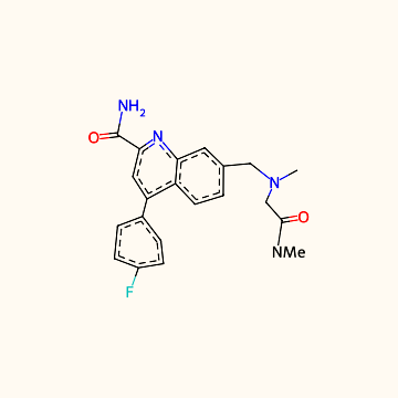 CNC(=O)CN(C)Cc1ccc2c(-c3ccc(F)cc3)cc(C(N)=O)nc2c1